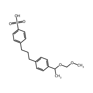 COCOC(C)c1ccc(CCCc2ccc(S(=O)(=O)O)cc2)cc1